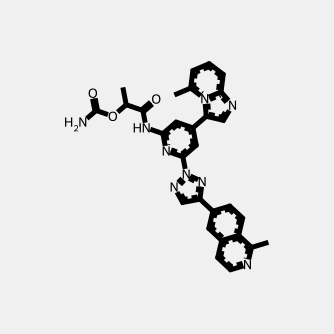 Cc1nccc2cc(-c3cnn(-c4cc(-c5cnc6cccc(C)n56)cc(NC(=O)C(C)OC(N)=O)n4)n3)ccc12